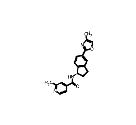 Cc1cc(C(=O)N[C@@H]2CCc3cc(-c4nc(C)co4)ccc32)ccn1